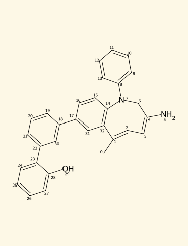 C/C1=C\C=C(\N)CN(c2ccccc2)c2ccc(-c3cccc(-c4ccccc4O)c3)cc21